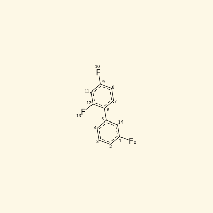 Fc1cccc(-c2[c]cc(F)cc2F)c1